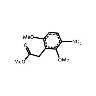 COC(=O)Cc1c(OC)ccc([N+](=O)[O-])c1OC